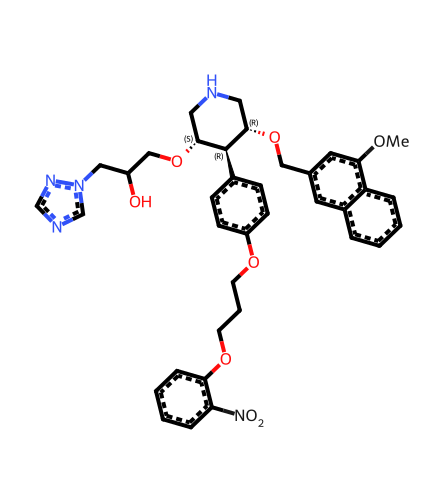 COc1cc(CO[C@H]2CNC[C@@H](OCC(O)Cn3cncn3)[C@@H]2c2ccc(OCCCOc3ccccc3[N+](=O)[O-])cc2)cc2ccccc12